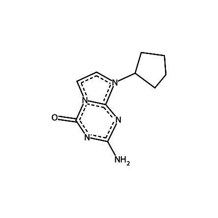 Nc1nc(=O)n2ccn(C3CCCC3)c2n1